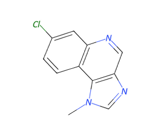 Cn1cnc2cnc3cc(Cl)ccc3c21